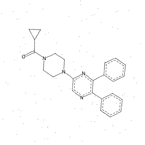 O=C(C1CC1)N1CCN(c2cnc(-c3ccccc3)c(-c3ccccc3)n2)CC1